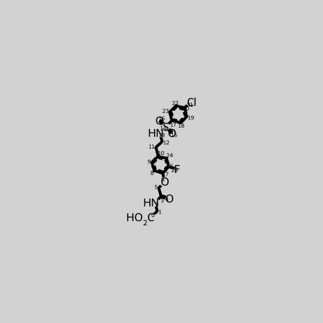 O=C(O)CNC(=O)COc1ccc(CCNS(=O)(=O)c2ccc(Cl)cc2)cc1F